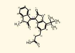 CN1C(=O)/C(=C2/C(=O)Oc3c2cc(CCC(=O)O)cc3C(C)(C)C)c2ccccc21